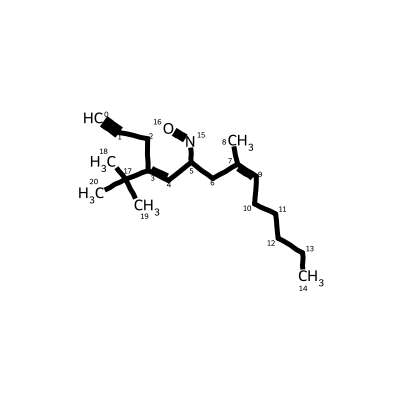 C#CCC(=CC(C/C(C)=C\CCCCC)N=O)C(C)(C)C